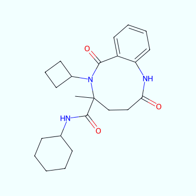 CC1(C(=O)NC2CCCCC2)CCC(=O)Nc2ccccc2C(=O)N1C1CCC1